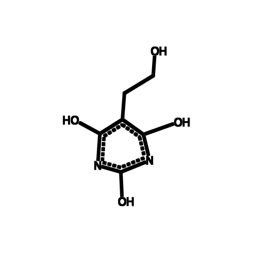 OCCc1c(O)nc(O)nc1O